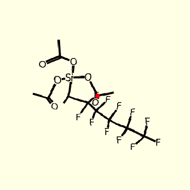 CC(=O)O[Si](OC(C)=O)(OC(C)=O)C(C)C(F)(F)C(F)(F)C(F)(F)C(F)(F)C(F)(F)F